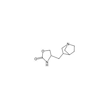 O=C1NC(CC2CN3CCC2C3)CO1